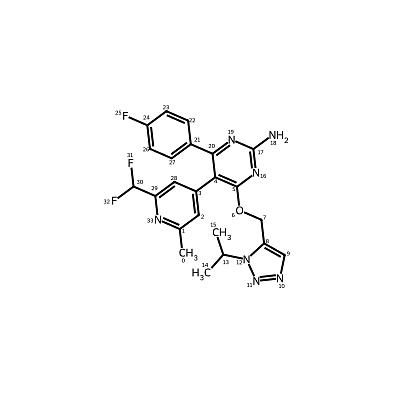 Cc1cc(-c2c(OCc3cnnn3C(C)C)nc(N)nc2-c2ccc(F)cc2)cc(C(F)F)n1